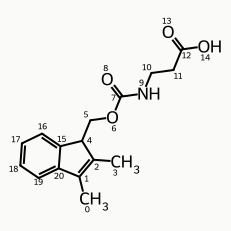 CC1=C(C)C(COC(=O)NCCC(=O)O)c2ccccc21